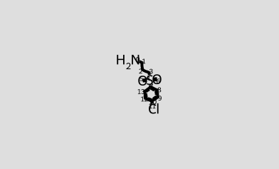 NCCCS(=O)(=O)c1ccc(Cl)cc1